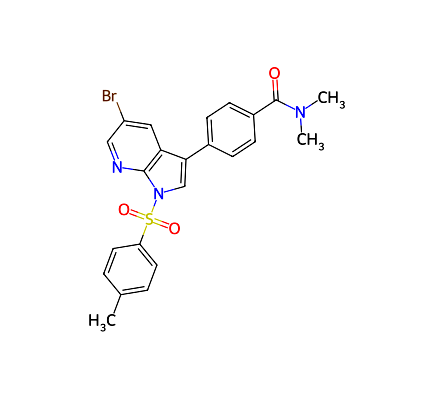 Cc1ccc(S(=O)(=O)n2cc(-c3ccc(C(=O)N(C)C)cc3)c3cc(Br)cnc32)cc1